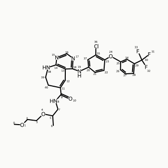 COCCOC(C)CNC(=O)C1=Cc2c(ncnc2Nc2ccc(Oc3cccc(C(F)(F)F)c3)c(Cl)c2)NCC1